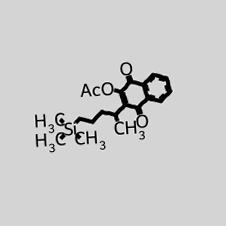 CC(=O)OC1=C(C(C)CCC[Si](C)(C)C)C(=O)c2ccccc2C1=O